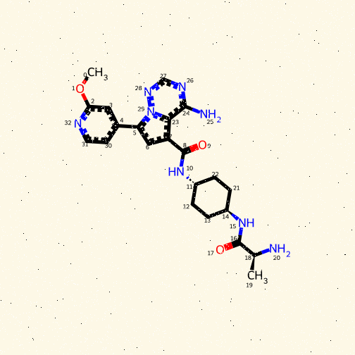 COc1cc(-c2cc(C(=O)N[C@H]3CC[C@H](NC(=O)[C@H](C)N)CC3)c3c(N)ncnn23)ccn1